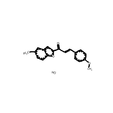 COc1ccc(C=CC(=O)c2cc3cc(C)ccc3o2)cc1.Cl